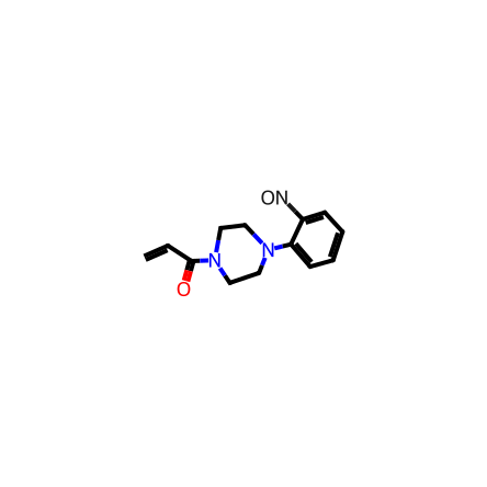 C=CC(=O)N1CCN(c2ccccc2N=O)CC1